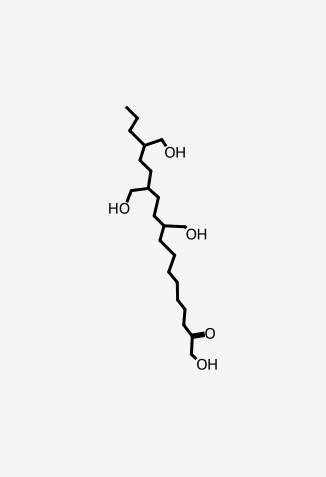 CCCC(CO)CCC(CO)CCC(CO)CCCCCCCC(=O)CO